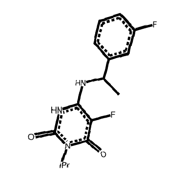 CC(Nc1[nH]c(=O)n(C(C)C)c(=O)c1F)c1cccc(F)c1